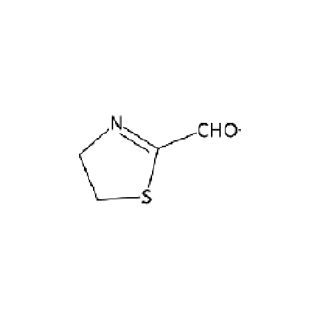 O=[C]C1=NCCS1